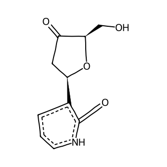 O=C1C[C@H](c2ccc[nH]c2=O)O[C@@H]1CO